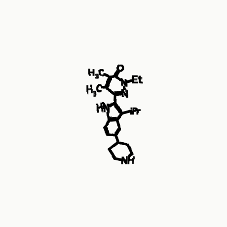 CCn1nc(-c2[nH]c3ccc(C4CCNCC4)cc3c2C(C)C)c(C)c(C)c1=O